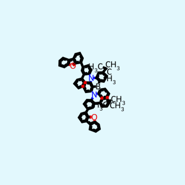 CC(C)(C)c1ccc2c(c1)N(c1ccc(-c3cccc4c3oc3ccccc34)cc1-c1ccccc1)c1cccc3c1B2c1ccc(C(C)(C)C)cc1N3c1ccc(-c2cccc3c2oc2ccccc23)cc1-c1ccccc1